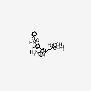 CC(C)(C)OC(=O)CCCn1cc(-c2ccc(NC(=O)Oc3ccccc3)c(F)c2)c2c(N)ncnc21